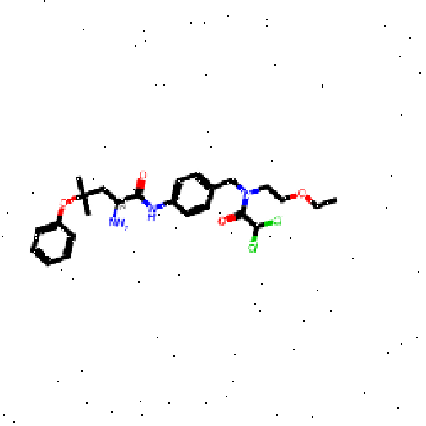 CCOCCN(Cc1ccc(NC(=O)[C@@H](N)CC(C)(C)Oc2ccccc2)cc1)C(=O)C(Cl)Cl